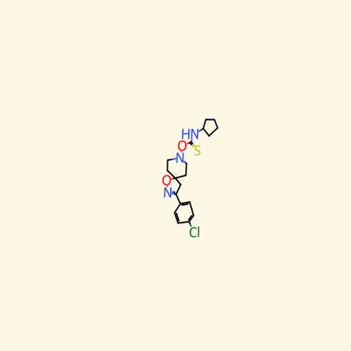 S=C(NC1CCCC1)ON1CCC2(CC1)CC(c1ccc(Cl)cc1)=NO2